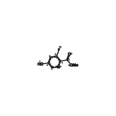 COC(=O)c1ncc(O)cc1F